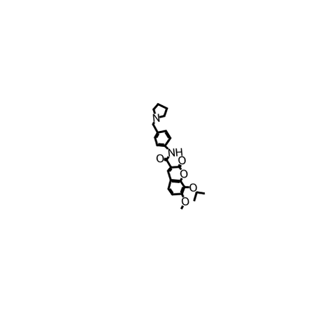 COc1ccc2cc(C(=O)Nc3ccc(CN4CCCC4)cc3)c(=O)oc2c1OC(C)C